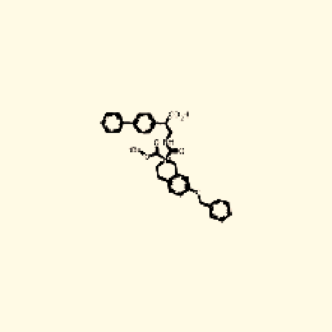 CC(C)(C)OC(=O)[N+]1(C(=O)NCC(C(=O)O)c2ccc(-c3ccccc3)cc2)CCc2ccc(OCc3ccccc3)cc2C1